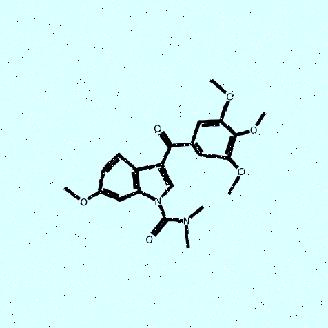 COc1ccc2c(C(=O)c3cc(OC)c(OC)c(OC)c3)cn(C(=O)N(C)C)c2c1